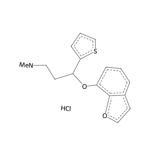 CNCCC(Oc1cccc2ccoc12)c1cccs1.Cl